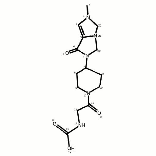 CN1C=C2C(=O)N(C3CCN(C(=O)CNC(=O)O)CC3)CN2C1